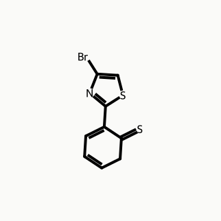 S=C1CC=CC=C1c1nc(Br)cs1